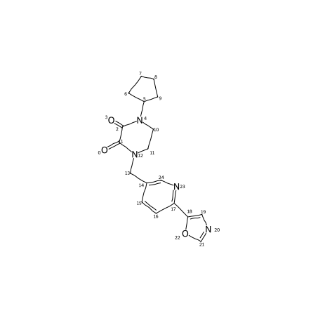 O=C1C(=O)N(C2CCCC2)CCN1Cc1ccc(-c2cnco2)nc1